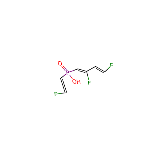 O=P(O)(C=CF)C=C(F)C=CF